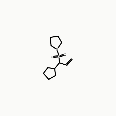 C=CC(C1CCCC1)S(=O)(=O)N1CCCC1